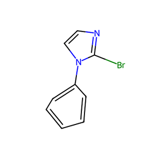 Brc1nccn1-c1ccccc1